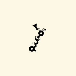 COc1ccc(-c2nc(CC(=O)Cc3ccccc3C)co2)cc1OCC1CC1